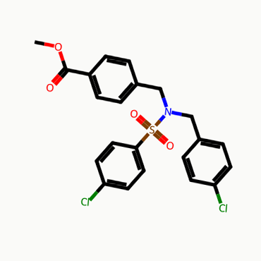 COC(=O)c1ccc(CN(Cc2ccc(Cl)cc2)S(=O)(=O)c2ccc(Cl)cc2)cc1